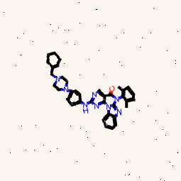 Cc1cccc(C)c1-n1c(=O)c2cnc(Nc3ccc(N4CCN(CC5CCCCC5)CC4)cc3)nc2n2c3ccccc3nc12